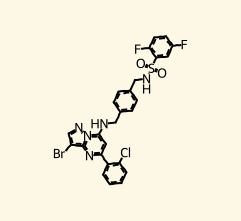 O=S(=O)(NCc1ccc(CNc2cc(-c3ccccc3Cl)nc3c(Br)cnn23)cc1)c1cc(F)ccc1F